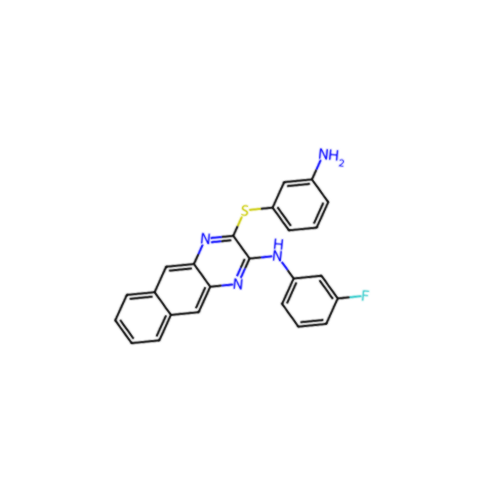 Nc1cccc(Sc2nc3cc4ccccc4cc3nc2Nc2cccc(F)c2)c1